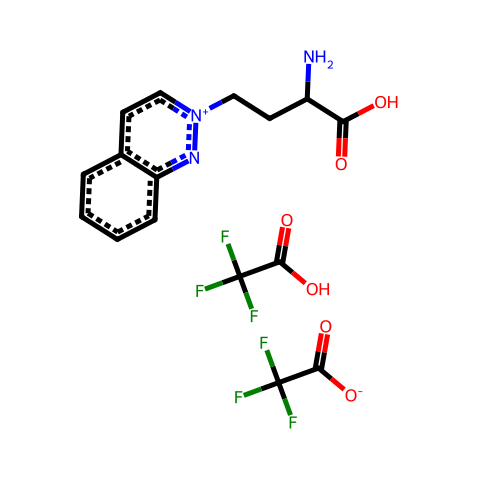 NC(CC[n+]1ccc2ccccc2n1)C(=O)O.O=C(O)C(F)(F)F.O=C([O-])C(F)(F)F